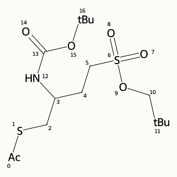 CC(=O)SCC(CCS(=O)(=O)OCC(C)(C)C)NC(=O)OC(C)(C)C